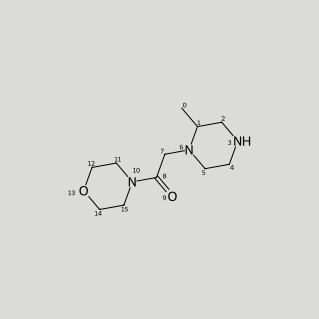 CC1CNCCN1CC(=O)N1CCOCC1